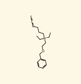 CC[N+](CC)(CCCN=C=S)CCOCc1ccccc1